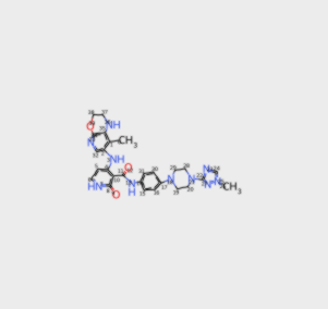 Cc1c(Nc2cc[nH]c(=O)c2C(=O)Nc2ccc(N3CCN(c4ncn(C)n4)CC3)cc2)cnc2c1NCCO2